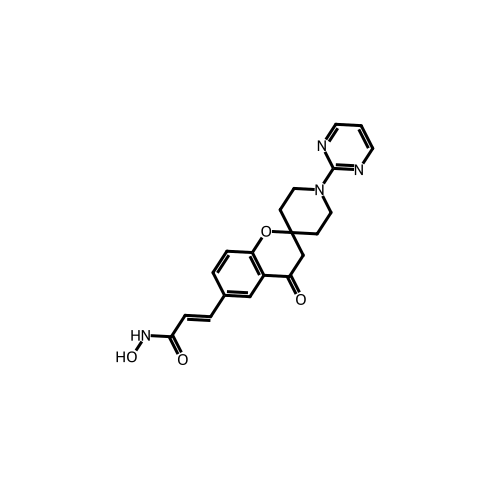 O=C(C=Cc1ccc2c(c1)C(=O)CC1(CCN(c3ncccn3)CC1)O2)NO